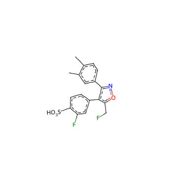 Cc1ccc(-c2noc(CF)c2-c2ccc(S(=O)(=O)O)c(F)c2)cc1C